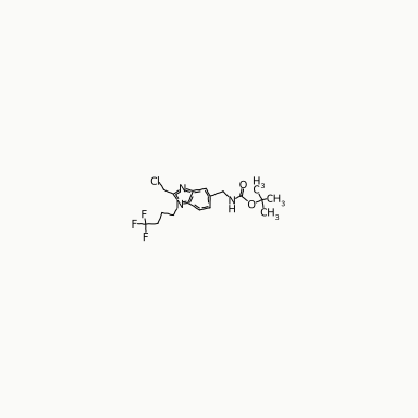 CC(C)(C)OC(=O)NCc1ccc2c(c1)nc(CCl)n2CCCC(F)(F)F